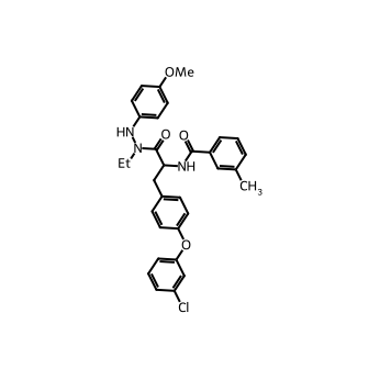 CCN(Nc1ccc(OC)cc1)C(=O)C(Cc1ccc(Oc2cccc(Cl)c2)cc1)NC(=O)c1cccc(C)c1